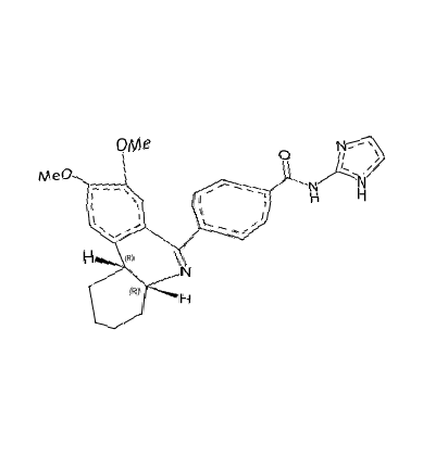 COc1cc2c(cc1OC)[C@H]1CCCC[C@H]1N=C2c1ccc(C(=O)Nc2ncc[nH]2)cc1